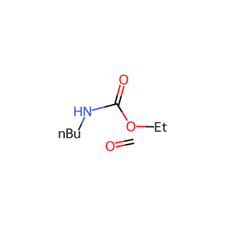 C=O.CCCCNC(=O)OCC